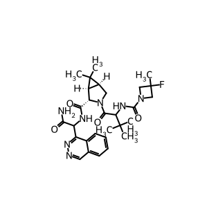 CC1(F)CN(C(=O)NC(C(=O)N2C[C@H]3[C@@H]([C@H]2C(=O)NC(C(N)=O)c2nncc4ccccc24)C3(C)C)C(C)(C)C)C1